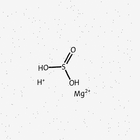 O=S(O)O.[H+].[Mg+2]